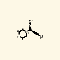 [CH2]CC#CC(=C=O)N1CCOCC1